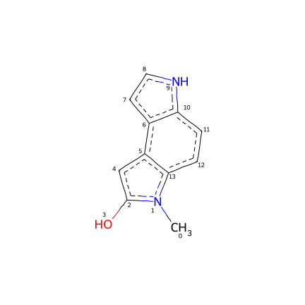 Cn1c(O)cc2c3cc[nH]c3ccc21